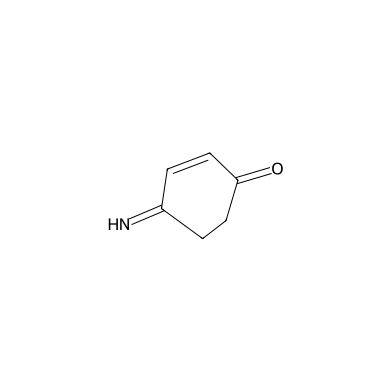 N=C1C=CC(=O)CC1